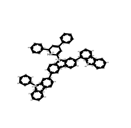 C1=C(c2ccccc2)C=C(n2c3ccc(-c4ccc5c6ccccc6n(-c6ccccc6)c5c4)cc3c3ccc(-c4cccc5c4sc4ccccc45)cc32)NC1c1ccccc1